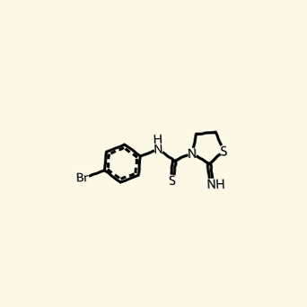 N=C1SCCN1C(=S)Nc1ccc(Br)cc1